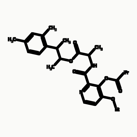 CCOc1ccnc(C(=O)NC(C)C(=O)OC(C)C(C)c2ccc(C)cc2C)c1OC(=O)C(C)C